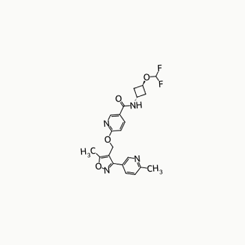 Cc1ccc(-c2noc(C)c2COc2ccc(C(=O)N[C@H]3C[C@H](OC(F)F)C3)cn2)cn1